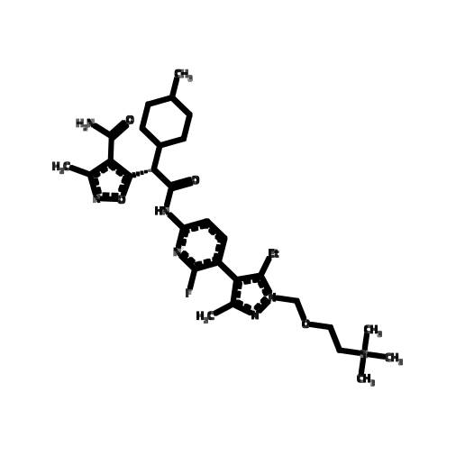 CCc1c(-c2ccc(NC(=O)[C@H](c3onc(C)c3C(N)=O)C3CCC(C)CC3)nc2F)c(C)nn1COCC[Si](C)(C)C